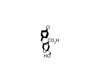 O=C(O)N1C[C@H](CO)OC[C@@H]1Cc1ccc(Cl)cc1